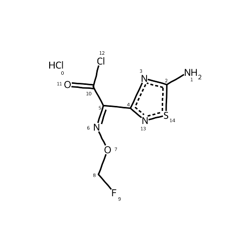 Cl.Nc1nc(/C(=N\OCF)C(=O)Cl)ns1